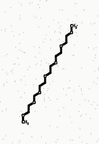 [CH2]OCCOCCOCCOCCOCOCCOC